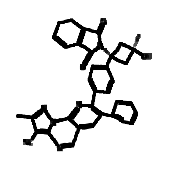 Cc1nn2c(ncc3cc(-c4ccccc4)c(-c4ccc([C@]5(N6C(=O)C7=C(CCC=C7)C6=O)C[C@](C)(O)C5)cc4)nc32)c1C#N